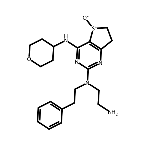 NCCN(CCc1ccccc1)c1nc2c(c(NC3CCOCC3)n1)[S+]([O-])CC2